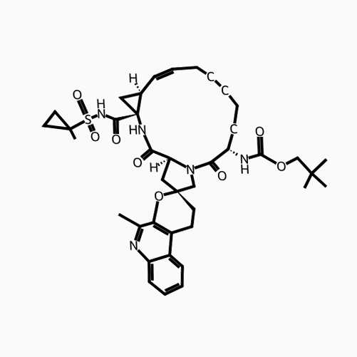 Cc1nc2ccccc2c2c1O[C@]1(CC2)C[C@H]2C(=O)N[C@]3(C(=O)NS(=O)(=O)C4(C)CC4)C[C@H]3/C=C\CCCCC[C@H](NC(=O)OCC(C)(C)C)C(=O)N2C1